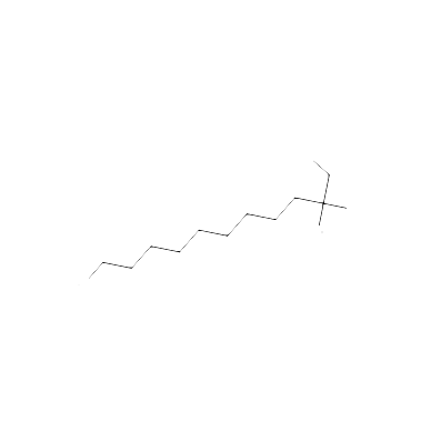 CC(O)(CO)CCCCCCCCCO